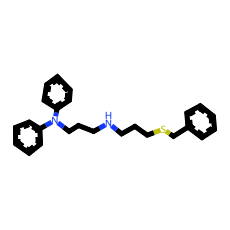 c1ccc(CSCCCNCCCN(c2ccccc2)c2ccccc2)cc1